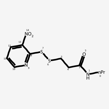 CCCNC(=O)CCSSc1ncccc1[N+](=O)[O-]